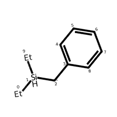 CC[SiH]([CH]c1ccccc1)CC